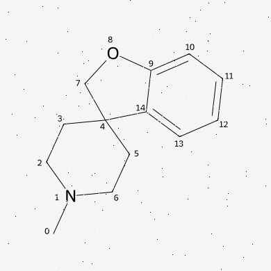 CN1CCC2(CC1)COc1ccccc12